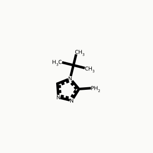 CC(C)(C)n1cnnc1P